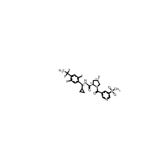 CC(F)(F)c1cc(F)c([C@H](NC(=O)[C@H]2C[C@H](F)CN2C(=O)c2cncc(S(C)(=O)=O)c2)C2CC2)cc1F